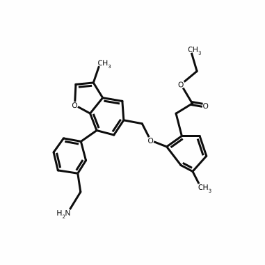 CCOC(=O)Cc1ccc(C)cc1OCc1cc(-c2cccc(CN)c2)c2occ(C)c2c1